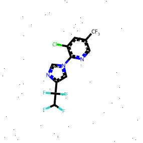 FC(F)C(F)(F)c1cn(-c2ncc(C(F)(F)F)cc2Cl)cn1